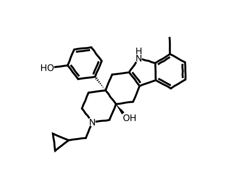 Cc1cccc2c3c([nH]c12)C[C@]1(c2cccc(O)c2)CCN(CC2CC2)C[C@@]1(O)C3